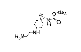 CCC1(CNC(=O)OC(C)(C)C)CCC(NCCN)CC1